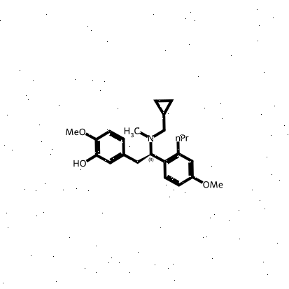 CCCc1cc(OC)ccc1[C@@H](Cc1ccc(OC)c(O)c1)N(C)CC1CC1